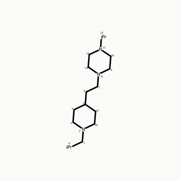 CC(C)CN1CCC(CCN2CCN(C(C)C)CC2)CC1